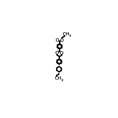 CCCOC(=O)c1ccc(C2OCC(c3ccc([C@H]4CC[C@H](CCC)CC4)cc3)CO2)cc1